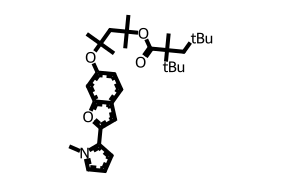 Cn1cccc1-c1cc2ccc(OC(C)(C)CC(C)(C)OC(=O)C(C)(CC(C)(C)C)C(C)(C)C)cc2o1